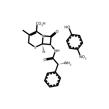 CC1=C(C(=O)O)N2C(=O)[C@@H](NC(=O)[C@H](N)c3ccccc3)[C@H]2SC1.O=[N+]([O-])c1ccc(O)cc1